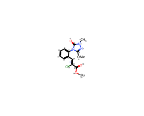 COc1nn(C)c(=O)n1-c1ccccc1/C=C(\Cl)C(=O)OC(C)(C)C